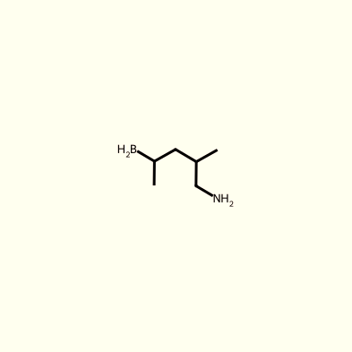 BC(C)CC(C)CN